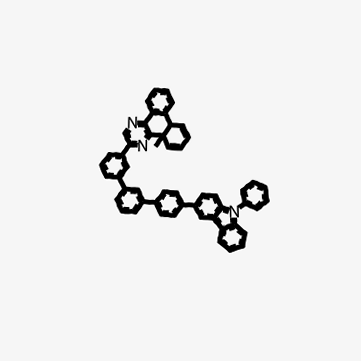 CC12C=CC=CC1c1ccccc1-c1ncc(-c3cccc(-c4cccc(-c5ccc(-c6ccc7c(c6)c6ccccc6n7-c6ccccc6)cc5)c4)c3)nc12